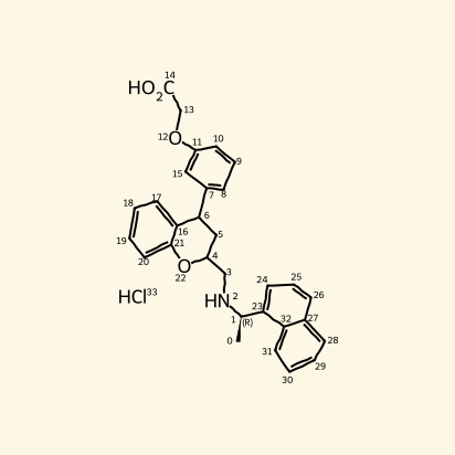 C[C@@H](NCC1CC(c2cccc(OCC(=O)O)c2)c2ccccc2O1)c1cccc2ccccc12.Cl